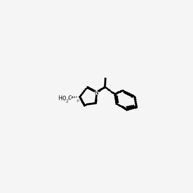 CC(c1ccccc1)N1CC[C@H](C(=O)O)C1